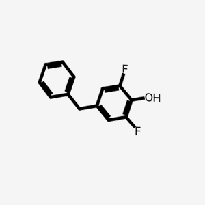 Oc1c(F)cc(Cc2ccccc2)cc1F